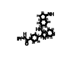 CC(C)NC(=O)c1ccc(-c2nc3cnccn3c2Nc2ccc3c(c2)CCC3=N)cc1